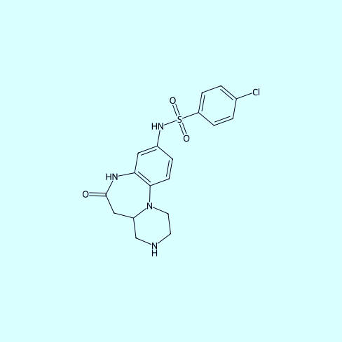 O=C1CC2CNCCN2c2ccc(NS(=O)(=O)c3ccc(Cl)cc3)cc2N1